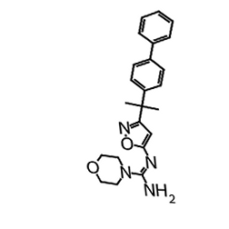 CC(C)(c1ccc(-c2ccccc2)cc1)c1cc(/N=C(/N)N2CCOCC2)on1